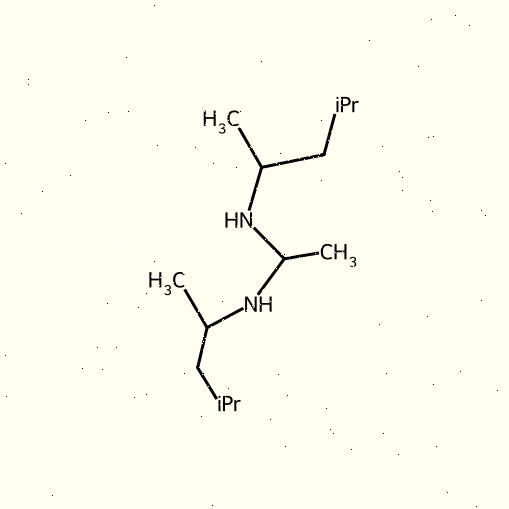 CC(C)CC(C)NC(C)NC(C)CC(C)C